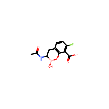 CC(=O)NC1Cc2ccc(F)c(C(=O)O)c2OB1O